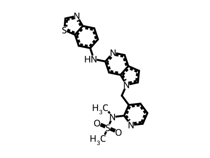 CN(c1ncccc1Cn1ccc2cnc(Nc3ccc4ncsc4c3)cc21)S(C)(=O)=O